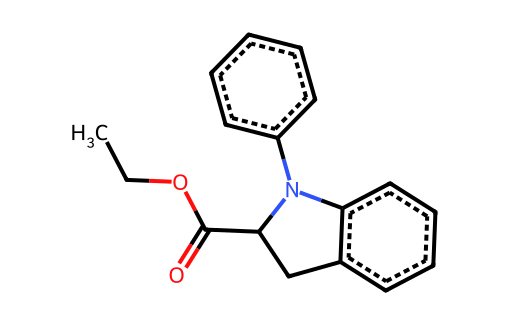 CCOC(=O)C1Cc2ccccc2N1c1ccccc1